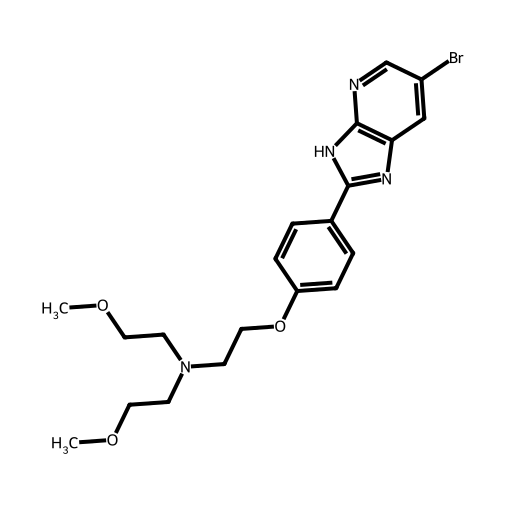 COCCN(CCOC)CCOc1ccc(-c2nc3cc(Br)cnc3[nH]2)cc1